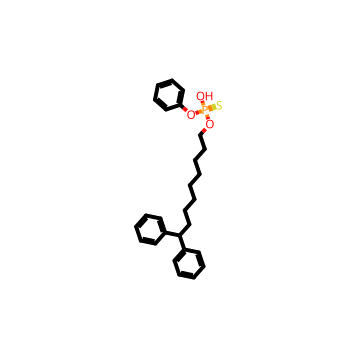 OP(=S)(OCCCCCCCCC(c1ccccc1)c1ccccc1)Oc1ccccc1